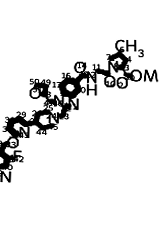 COC(=O)[C@@H]1C[C@H](C)CN1C(=O)CNC(=O)c1ccc2c(c1)nc(CN1CCC(c3cccc(OCc4ccc(C#N)cc4F)n3)CC1)n2C[C@@H]1CCO1